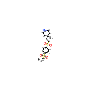 CCC1(CCS(=O)(=O)c2ccc(S(C)(=O)=O)cc2)CCNCC1